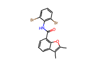 Cc1oc2c(C(=O)Nc3c(Br)cccc3Br)cccc2c1C